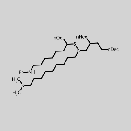 CCCCCCCCCCCCC(CCCCCC)CN(CCCCCCCCCN(C)C)SC(CCCCCCCC)CCCCCCNCC